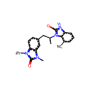 CC(C)n1c(=O)n(C)c2cc(CC(C)n3c(=O)[nH]c4cccc(C#N)c43)ccc21